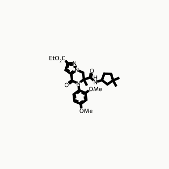 CCOC(=O)c1cc2n(n1)CC(C)(C(=O)NC1CCC(C)(C)C1)N(c1ccc(OC)cc1OC)C2=O